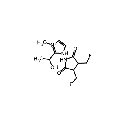 CC(O)c1[nH]cc[n+]1C.O=C1NC(=O)C(CF)C1CF